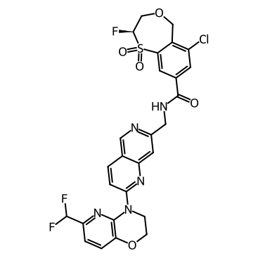 O=C(NCc1cc2nc(N3CCOc4ccc(C(F)F)nc43)ccc2cn1)c1cc(Cl)c2c(c1)S(=O)(=O)[C@@H](F)COC2